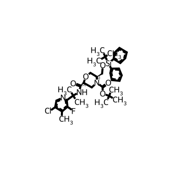 Cc1c(Cl)cnc(C(C)(C)NC(=O)[C@@H]2CN(C(=O)OC(C)(C)C)[C@H](CO[Si](c3ccccc3)(c3ccccc3)C(C)(C)C)CO2)c1F